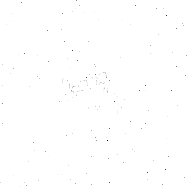 COCCCN(CN1CCNCC1)c1nccc(Nc2cc3c(cn2)nc(C)n3C(C)C)n1